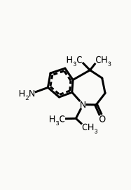 CC(C)N1C(=O)CCC(C)(C)c2ccc(N)cc21